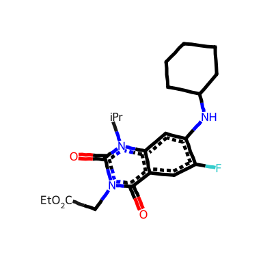 CCOC(=O)Cn1c(=O)c2cc(F)c(NC3CCCCC3)cc2n(C(C)C)c1=O